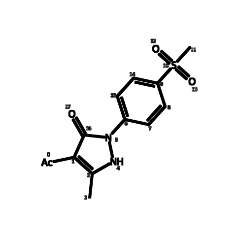 CC(=O)c1c(C)[nH]n(-c2ccc(S(C)(=O)=O)cc2)c1=O